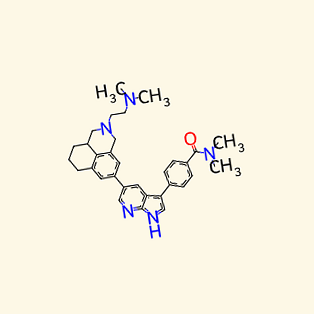 CN(C)CCN1Cc2cc(-c3cnc4[nH]cc(-c5ccc(C(=O)N(C)C)cc5)c4c3)cc3c2C(CCC3)C1